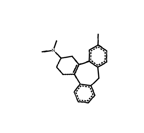 Cc1ccc2c(c1)C1=C(CCC(N(C)C)C1)c1ccccc1C2